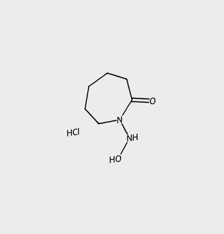 Cl.O=C1CCCCCN1NO